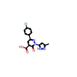 Cc1cc(-n2nc(-c3ccc(Cl)cc3)cc(C(=O)O)c2=O)[nH]n1